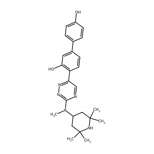 CN(c1ncc(-c2ccc(-c3ccc(O)cc3)cc2O)nn1)C1CC(C)(C)NC(C)(C)C1